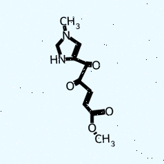 COC(=O)/C=C/C(=O)C(=O)C1=CN(C)CN1